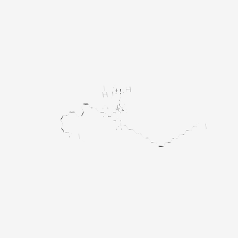 CC/C=C\C/C=C\C/C=C\C/C=C\C/C=C\CCCC(=O)O[C@H](COC(=O)CCCCCCCCC/C=C\CCCCCCCCCC)COP(=O)([O-])OCC[N+](C)(C)C